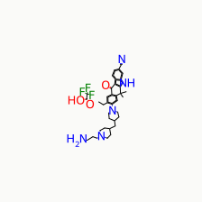 CCc1cc2c(cc1N1CCC(CC3CCN(CCCN)CC3)CC1)C(C)(C)c1[nH]c3cc(C#N)ccc3c1C2=O.O=C(O)C(F)(F)F